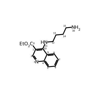 CCOC(=O)c1cnc2ccccc2c1NCCCCN